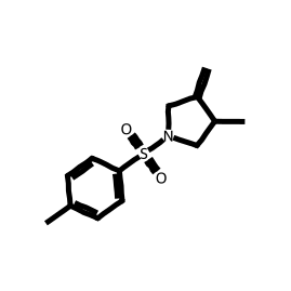 C=C1CN(S(=O)(=O)c2ccc(C)cc2)CC1C